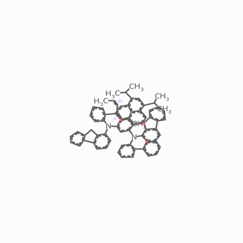 C=C/C=C(\C=C/C)c1ccccc1N(c1cccc2c1Cc1ccccc1-2)c1cc(N(c2ccccc2-c2ccccc2)c2cccc3c2Cc2ccccc2-3)c2ccc3c(C(C)C)cc(C(C)C)c4ccc1c2c43